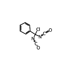 O=C=NC(Cl)(N=C=O)c1ccccc1